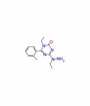 CCN(N)c1nc(-c2ccccc2C)n(CC)c(=O)n1